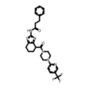 O=C(CCc1ccccc1)Nc1nc2c(s1)CCCC2C(=O)N1CCN(c2ccc(C(F)(F)F)cn2)CC1